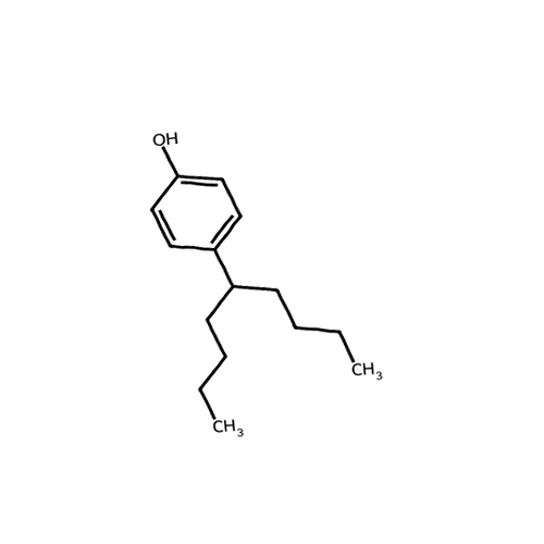 CCCCC(CCCC)c1ccc(O)cc1